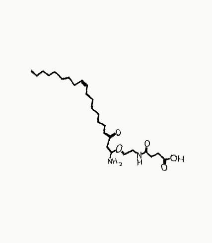 CCCCCCCC/C=C\CCCCCCCC(=O)CC(N)OCCNC(=O)CCC(=O)O